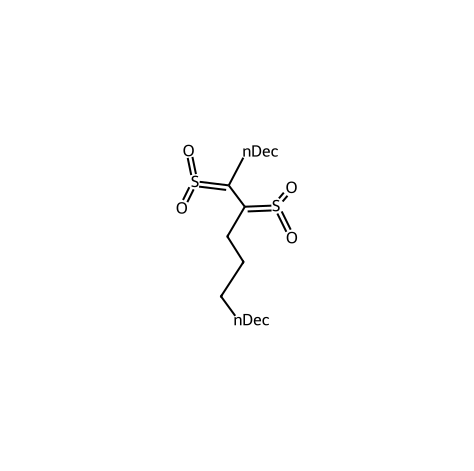 CCCCCCCCCCCCCC(C(CCCCCCCCCC)=S(=O)=O)=S(=O)=O